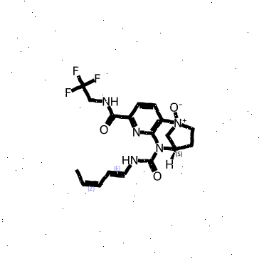 C/C=C\C=C\NC(=O)N1c2nc(C(=O)NCC(F)(F)F)ccc2[N+]2([O-])CC[C@H]1C2